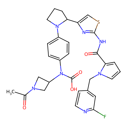 CC(=O)N1CC(N(C(=O)O)c2ccc(N3CCCC3c3csc(NC(=O)c4cccn4Cc4ccnc(F)c4)n3)cc2)C1